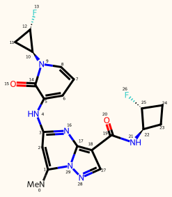 CNc1cc(Nc2cccn([C@H]3C[C@@H]3F)c2=O)nc2c(C(=O)N[C@@H]3CC[C@H]3F)cnn12